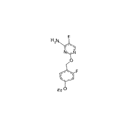 CCOc1ccc(COc2ncc(F)c(N)n2)c(F)c1